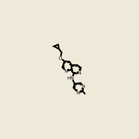 Cc1ncc(Nc2nccc3cc(OCC4CC4)cnc23)cn1